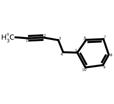 CC#CCCc1[c]cccc1